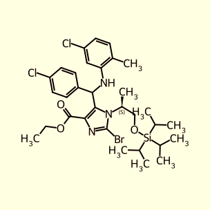 CCOC(=O)c1nc(Br)n([C@@H](C)CO[Si](C(C)C)(C(C)C)C(C)C)c1C(Nc1cc(Cl)ccc1C)c1ccc(Cl)cc1